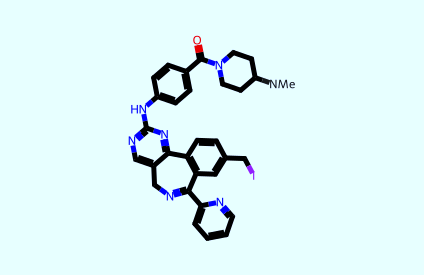 CNC1CCN(C(=O)c2ccc(Nc3ncc4c(n3)-c3ccc(CI)cc3C(c3ccccn3)=NC4)cc2)CC1